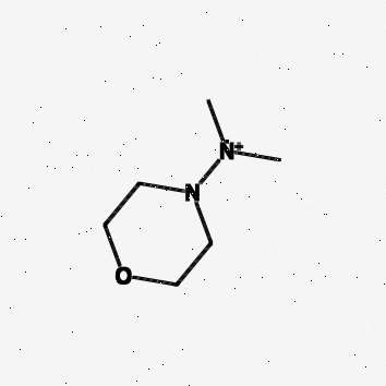 C[N+](C)N1CCOCC1